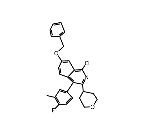 Cc1cc(-c2c(C3CCOCC3)nc(Cl)c3cc(OCc4ccccc4)ccc23)ccc1F